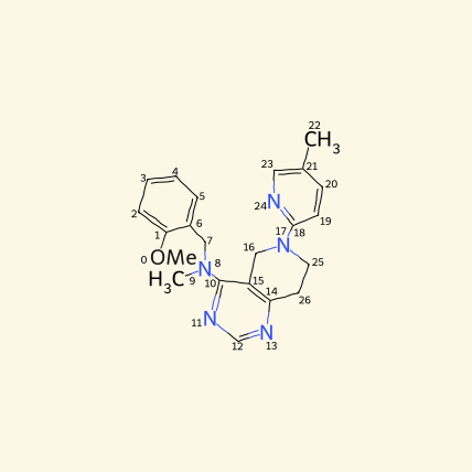 COc1ccccc1CN(C)c1ncnc2c1CN(c1ccc(C)cn1)CC2